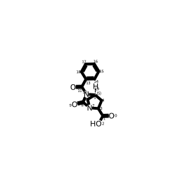 O=C(O)C1C[C@H]2CN1C(=O)N2C(=O)c1ccccc1